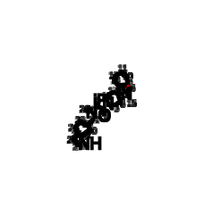 CC(C)C(C(=O)N1CCC(c2ccccc2)(N(C)C)CC1)N(C)Cc1ccc2cc[nH]c2c1